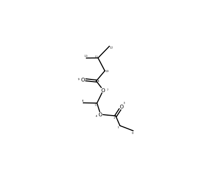 CCC(=O)OC(C)OC(=O)CC(C)C